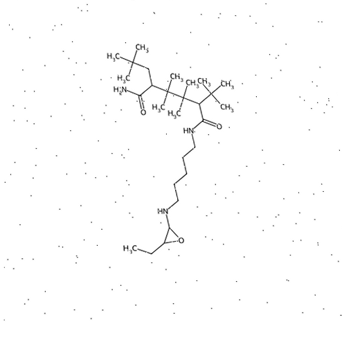 CCC1OC1NCCCCCNC(=O)C(C(C)(C)C)C(C)(C)C(C)(C)C(CC(C)(C)C)C(N)=O